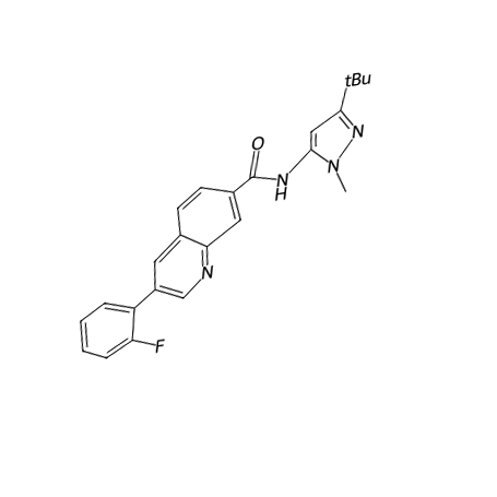 Cn1nc(C(C)(C)C)cc1NC(=O)c1ccc2cc(-c3ccccc3F)cnc2c1